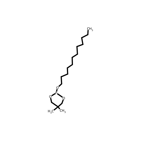 CCCCCCCCCCCCOP1OCC(C)(C)CO1